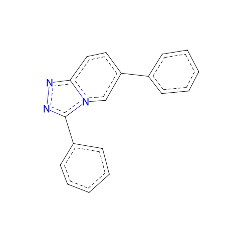 c1ccc(-c2ccc3nnc(-c4ccccc4)n3c2)cc1